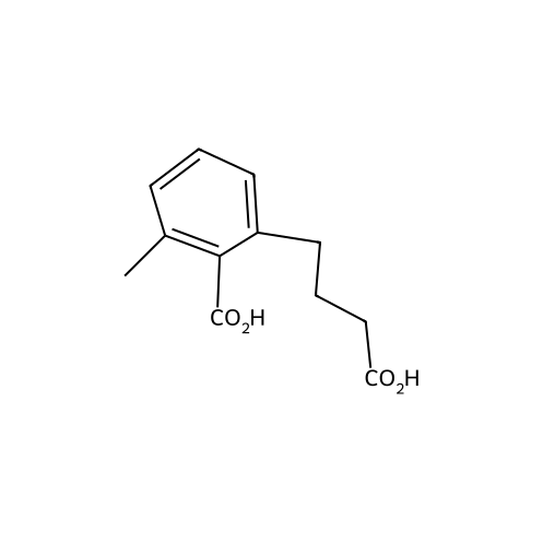 Cc1cccc(CCCC(=O)O)c1C(=O)O